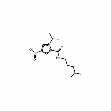 CC(C)n1cc([N+](=O)[O-])cc1C(=O)NCCCN(C)C